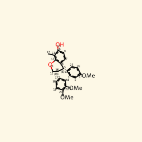 COc1ccc([C@H]2c3ccc(O)c(C)c3OC[C@H]2c2ccc(OC)c(OC)c2)cc1